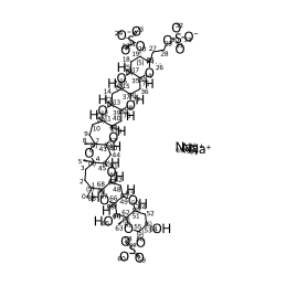 C[C@H]1CC[C@]2(C)O[C@]3(C)CC[C@@H]4O[C@@H]5C[C@@H]6O[C@@H]7C[C@H](OS(=O)(=O)[O-])[C@@](C)(CCOS(=O)(=O)[O-])O[C@H]7C[C@H]6O[C@H]5C[C@H]4O[C@H]3C[C@H]2O[C@H]2C[C@H]3O[C@H]4C[C@H](O)[C@H](OS(=O)(=O)[O-])O[C@]4(C)[C@H](O)[C@@H]3O[C@@H]21.[Na+].[Na+].[Na+]